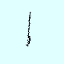 COCCOCCOCCOCCOCCOCCOCCCCCCOc1ccc(OC(=O)Oc2ccc([N+](=O)[O-])cc2)cc1